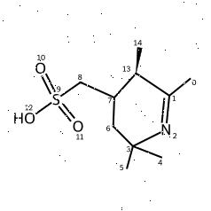 CC1=NC(C)(C)CC(CS(=O)(=O)O)[C@H]1C